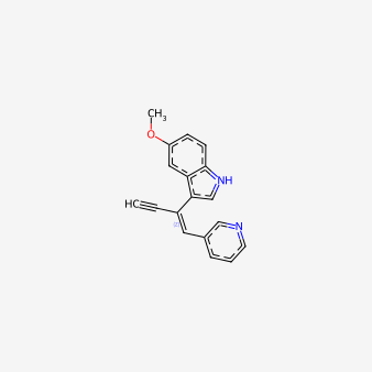 C#C/C(=C/c1cccnc1)c1c[nH]c2ccc(OC)cc12